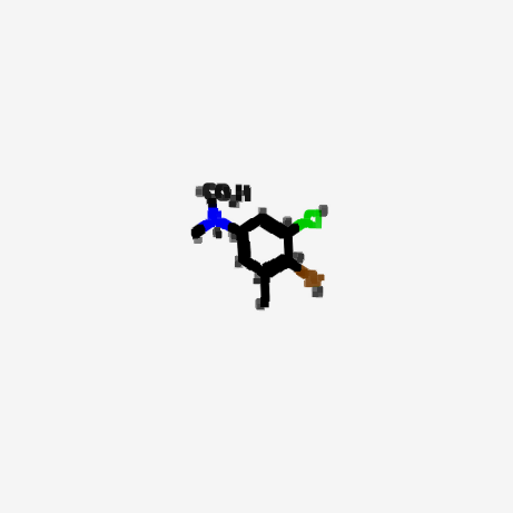 Cc1cc(N(C)C(=O)O)cc(Cl)c1Br